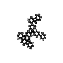 c1ccc(-c2ccc(N(c3ccc(-c4cccc5c4sc4ccccc45)cc3)c3ccc(-n4c5ccccc5c5ccc6c7ccccc7oc6c54)cc3)cc2)cc1